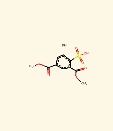 COC(=O)c1ccc(S(=O)(=O)O)c(C(=O)OC)c1.[KH]